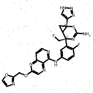 NC1=N[C@](CF)(c2cc(Nc3nccc4nc(OCc5ncco5)cnc34)ccc2F)C2C[C@]2(c2c[nH]nn2)S1